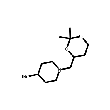 CC1(C)OCCC(CN2CCC(C(C)(C)C)CC2)O1